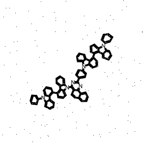 c1ccc(-n2c3ccccc3c3c(-c4cccc5c4c4ccccc4n5-c4ccc(-c5nc(-n6c7ccccc7c7c(-c8cccc9c8c8ccccc8n9-c8ccccc8)cccc76)c6ccc7ccccc7c6n5)cc4)cccc32)cc1